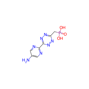 Nc1cnc(-c2nnc(CP(=O)(O)O)nn2)nc1